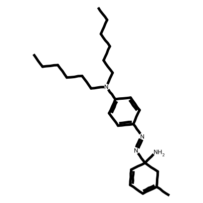 CCCCCCN(CCCCCC)c1ccc(N=NC2(N)C=CC=C(C)C2)cc1